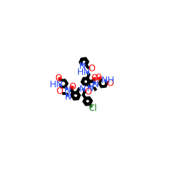 Cc1nc2cccc(CN(C(=O)Cc3ccc(Cl)cc3)c3ccc(CNC(=O)c4ccccn4)c4c(=O)n(C5CCC(=O)NC5=O)c(C)nc34)c2c(=O)n1C1CCC(=O)NC1=O